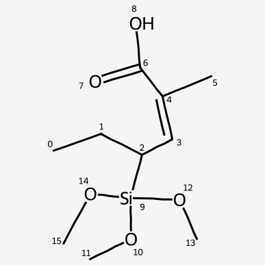 CCC(C=C(C)C(=O)O)[Si](OC)(OC)OC